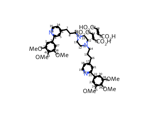 COc1cc(-c2cc(CCCN3CCN(CCCc4ccnc(-c5cc(OC)c(OC)c(OC)c5)c4)CC3)ccn2)cc(OC)c1OC.O=C(O)C=CC(=O)O.O=C(O)C=CC(=O)O